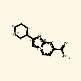 NC(=O)c1ccn2cc(C3CCCNC3)nc2c1